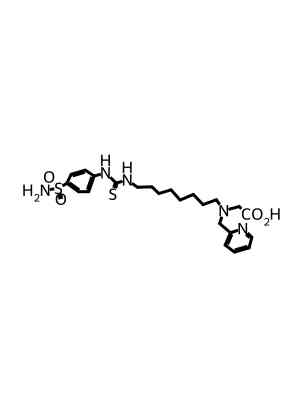 NS(=O)(=O)c1ccc(NC(=S)NCCCCCCCCN(CC(=O)O)Cc2ccccn2)cc1